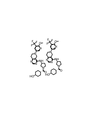 COc1ncc(N2CCc3ncnc(N[C@H]4CCN(C(=O)[C@H]5CC[C@H](O)CC5)C4)c3C2)cc1C(F)(F)F.COc1ncc(N2CCc3ncnc(N[C@H]4CCN(C(=O)[C@H]5CC[C@H](O)CC5)C4)c3C2)cc1C(F)(F)F